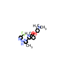 Cc1cc(Nc2cc(C(F)F)ccn2)nc(-c2ccc([C@](C)(O)C3(C(=O)O[C@H]4CC[C@H](N(C)C)CC4)CCCCC3)nc2)c1